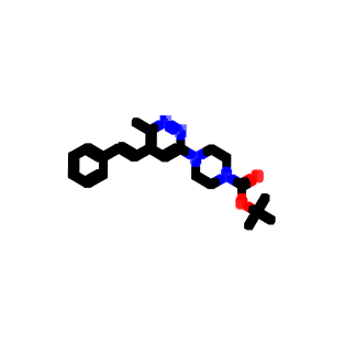 Cc1nnc(N2CCN(C(=O)OC(C)(C)C)CC2)cc1/C=C/c1ccccc1